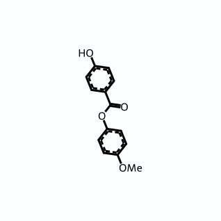 COc1ccc(OC(=O)c2ccc(O)cc2)cc1